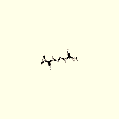 CN(C)C(=O)OSSOC(N)=O